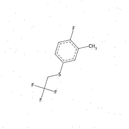 Cc1cc(SCC(F)(F)F)ccc1F